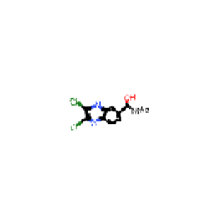 CNC(O)c1ccc2nc(Cl)c(Cl)nc2c1